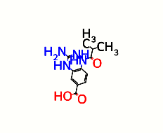 CC(C)C(=O)Nc1ccc(C(=O)O)cc1NC(=N)N